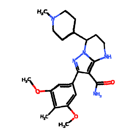 COc1cc(-c2nn3c(c2C(N)=O)NCCC3C2CCN(C)CC2)cc(OC)c1C